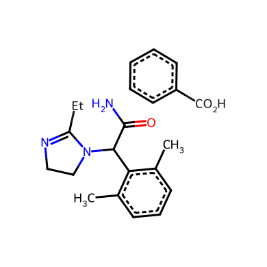 CCC1=NCCN1C(C(N)=O)c1c(C)cccc1C.O=C(O)c1ccccc1